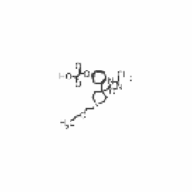 CCOCCN1CCC(c2ccccc2)(c2nc(C)no2)CC1.O=C(O)C(=O)O